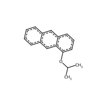 CC(C)Oc1cccc2cc3ccccc3cc12